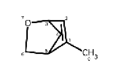 CC1=CC2CC1CO2